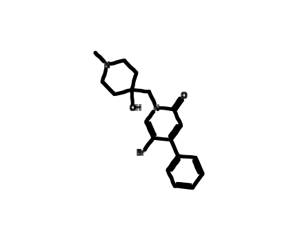 CN1CCC(O)(Cn2cc(Br)c(-c3ccccc3)cc2=O)CC1